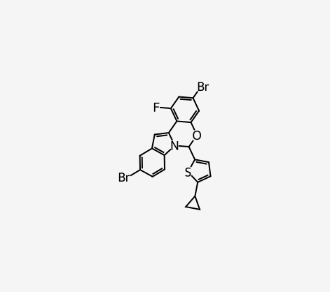 Fc1cc(Br)cc2c1-c1cc3cc(Br)ccc3n1C(c1ccc(C3CC3)s1)O2